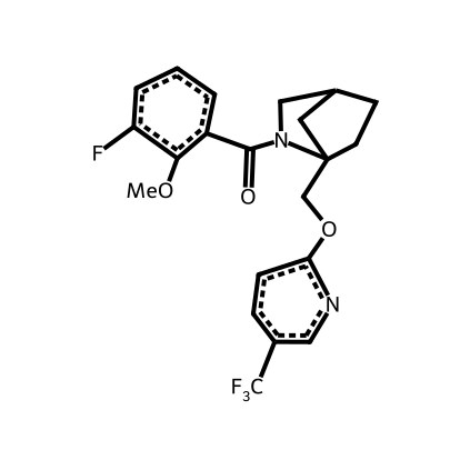 COc1c(F)cccc1C(=O)N1CC2CCC1(COc1ccc(C(F)(F)F)cn1)C2